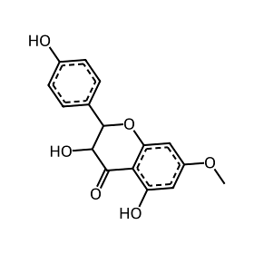 COc1cc(O)c2c(c1)OC(c1ccc(O)cc1)C(O)C2=O